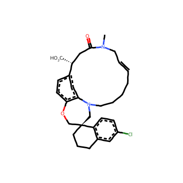 CN1C/C=C/CCCCN2C[C@@]3(CCCc4cc(Cl)ccc43)COc3ccc(cc32)[C@H](C(=O)O)CC1=O